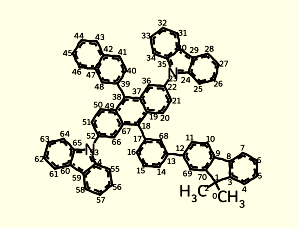 CC1(C)c2ccccc2-c2ccc(-c3cccc(-c4c5ccc(-n6c7ccccc7c7ccccc76)cc5c(-c5ccc6ccccc6c5)c5ccc(-n6c7ccccc7c7ccccc76)cc45)c3)cc21